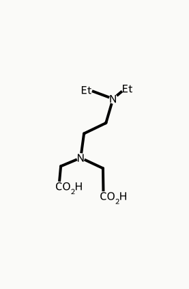 CCN(CC)CCN(CC(=O)O)CC(=O)O